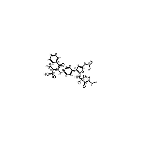 CCNC(=O)S(=O)(=O)Nc1sc(CC(C)C)cc1-c1ccc(CN(C(=O)c2ccccc2)C(C(=O)O)C(C)C)cc1